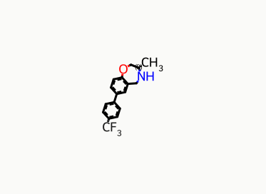 C[C@@H]1COc2ccc(-c3ccc(C(F)(F)F)cc3)cc2CN1